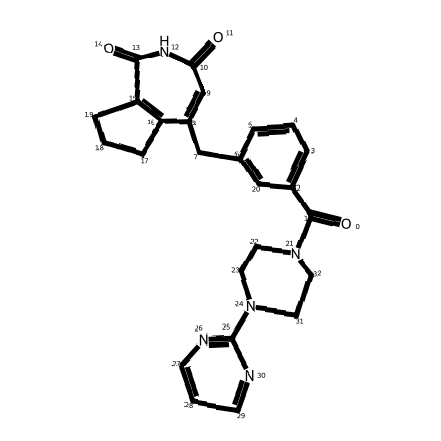 O=C(c1cccc(Cc2cc(=O)[nH]c(=O)c3c2CCC3)c1)N1CCN(c2ncccn2)CC1